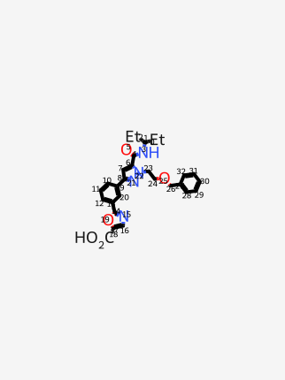 CCC(CC)NC(=O)c1cc(-c2cccc(-c3ncc(C(=O)O)o3)c2)nn1CCOCc1ccccc1